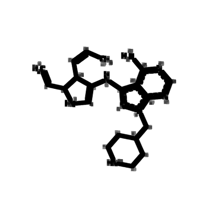 C=CC1NC=C(Nc2nn(CC3CCNCC3)c3ncnc(N)c23)C1/C=C\C